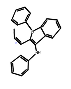 C/C=C\c1c(Nc2ccccc2)c2ccccc2n1-c1ccccc1